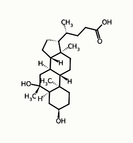 C[C@H](CCC(=O)O)[C@H]1CC[C@H]2[C@@H]3C[C@@](C)(O)[C@@H]4C[C@H](O)CC[C@]4(C)[C@H]3CC[C@]12C